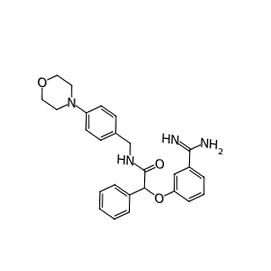 N=C(N)c1cccc(OC(C(=O)NCc2ccc(N3CCOCC3)cc2)c2ccccc2)c1